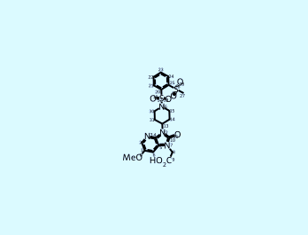 COc1cnc2c(c1)n(CC(=O)O)c(=O)n2C1CCN(S(=O)(=O)c2ccccc2S(C)(=O)=O)CC1